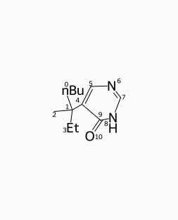 CCCCC(C)(CC)c1cnc[nH]c1=O